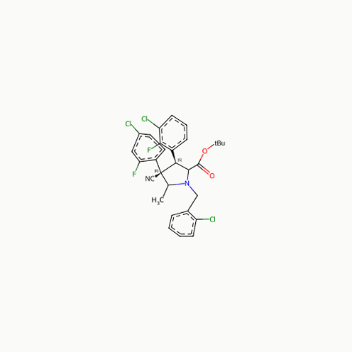 CC1N(Cc2ccccc2Cl)C(C(=O)OC(C)(C)C)[C@H](c2cccc(Cl)c2F)[C@@]1(C#N)c1ccc(Cl)cc1F